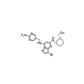 Nc1ncc(CNc2cc(N[C@H]3CCCC[C@H]3CO)nc3c(Br)cnn23)cn1